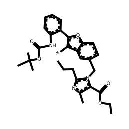 CCCc1nc(C)c(C(=O)OCC)n1Cc1ccc2oc(-c3ccccc3NC(=O)OC(C)(C)C)c(Br)c2c1